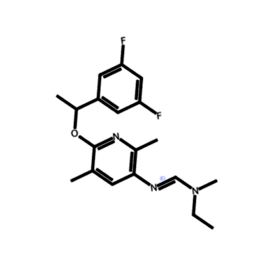 CCN(C)/C=N/c1cc(C)c(OC(C)c2cc(F)cc(F)c2)nc1C